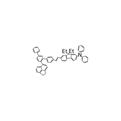 CCC1(CC)c2cc(/C=C/c3ccc(-c4cc(-c5ccccc5)ccc4-c4ccc5c6c(cccc46)CC5)cc3)ccc2-c2ccc(N(c3ccccc3)c3ccccc3)cc21